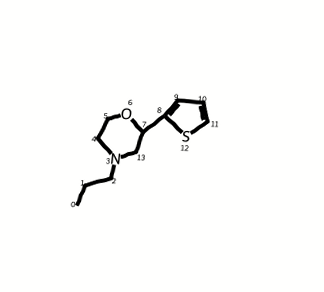 CCCN1CCOC(c2cccs2)C1